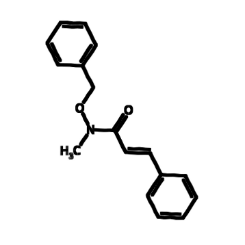 CN(OCc1ccccc1)C(=O)C=Cc1ccccc1